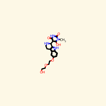 Cn1c(O)c(C2NCCc3c2[nH]c2ccc(OCCOCCO)cc32)c(=O)[nH]c1=O